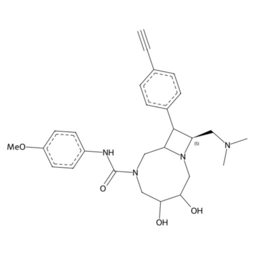 C#Cc1ccc(C2C3CN(C(=O)Nc4ccc(OC)cc4)CC(O)C(O)CN3[C@@H]2CN(C)C)cc1